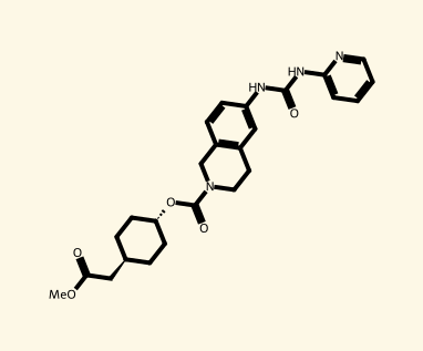 COC(=O)C[C@H]1CC[C@H](OC(=O)N2CCc3cc(NC(=O)Nc4ccccn4)ccc3C2)CC1